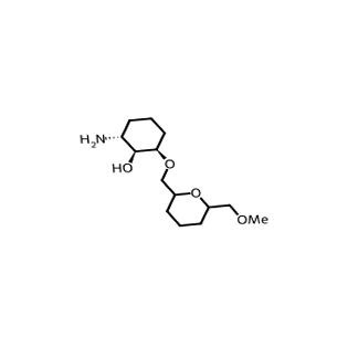 COCC1CCCC(CO[C@@H]2CCC[C@@H](N)[C@@H]2O)O1